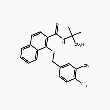 CC(C)(NC(=O)c1ccc2ccccc2c1OCc1ccc(C(F)(F)F)c(C(F)(F)F)c1)C(=O)O